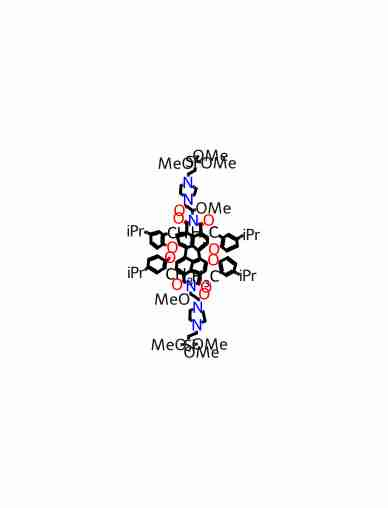 COC(C(=O)N1CCN(CC[Si](OC)(OC)OC)CC1)N1C(=O)c2cc(Oc3ccc(C(C)C)cc3C)c3c4c(Oc5ccc(C(C)C)cc5C)cc5c6c(cc(Oc7ccc(C(C)C)cc7C)c(c7c(Oc8ccc(C(C)C)cc8C)cc(c2c37)C1=O)c64)C(=O)N(C(OC)C(=O)N1CCN(CC[Si](OC)(OC)OC)CC1)C5=O